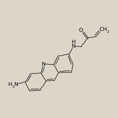 C=CC(=O)CNc1ccc2cc3ccc(N)cc3nc2c1